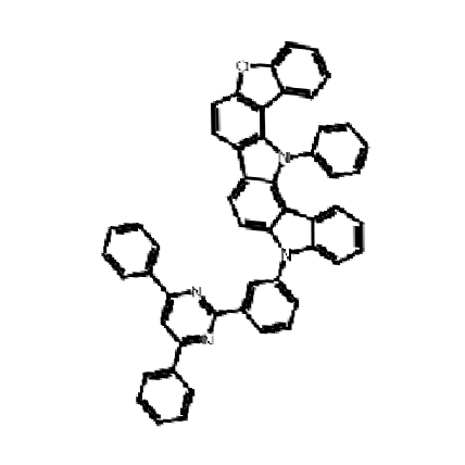 c1ccc(-c2cc(-c3ccccc3)nc(-c3cccc(-n4c5ccccc5c5c4ccc4c6ccc7oc8ccccc8c7c6n(-c6ccccc6)c45)c3)n2)cc1